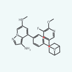 CBc1cc(-c2ccc(N3CC4CC(C3)N4Cc3cnc(OC)c(F)c3)nc2)c2c(N)cnn2c1